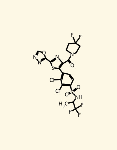 CC(NS(=O)(=O)c1ccc(-c2sc(-c3nnco3)nc2C(=O)N2CCC(F)(F)CC2)c(Cl)c1Cl)C(F)(F)F